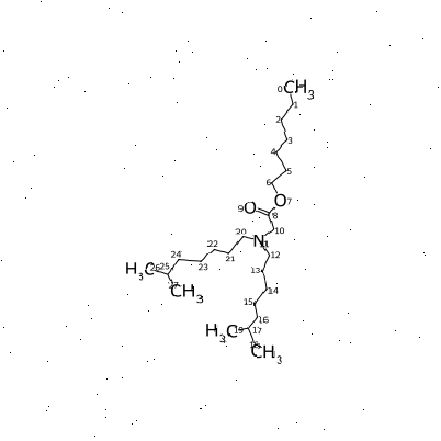 CCCCCCCOC(=O)CN(CCCCCC(C)C)CCCCCC(C)C